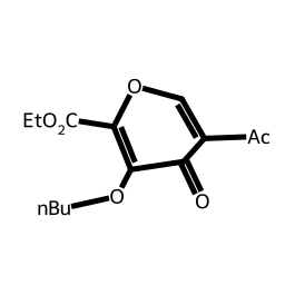 CCCCOc1c(C(=O)OCC)occ(C(C)=O)c1=O